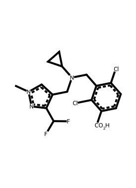 Cn1cc(CN(Cc2c(Cl)ccc(C(=O)O)c2Cl)C2CC2)c(C(F)F)n1